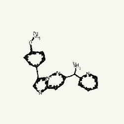 COc1ccc(-c2cnc3ccc(C(N)c4ccccn4)nn23)cc1